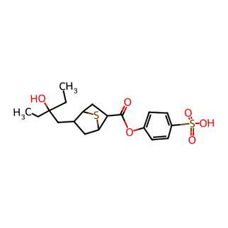 CCC(O)(CC)CC1CC2SC1CC2C(=O)Oc1ccc(S(=O)(=O)O)cc1